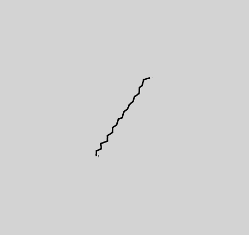 [CH]CCCCCCCCCCCCCCCCCCC[CH2]